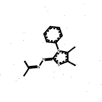 CC(C)=NN=c1sc(C)c(C)n1-c1ccccc1